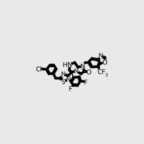 O=C1CN2C(CNC[C@@]2(c2cc(F)cc(F)c2)c2nsc(Cc3cccc(Cl)c3)n2)N1Cc1cc(C(F)(F)F)c2ocnc2c1